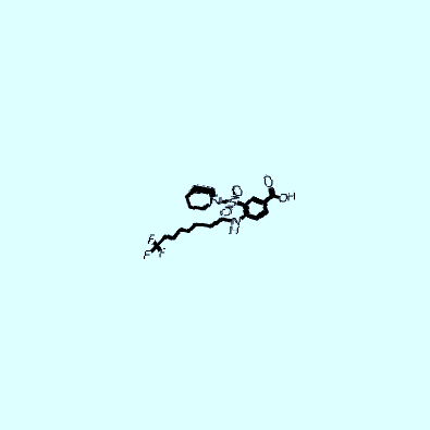 O=C(O)c1ccc(NCCCCCCCC(F)(F)F)c(S(=O)(=O)N2CCCCC2)c1